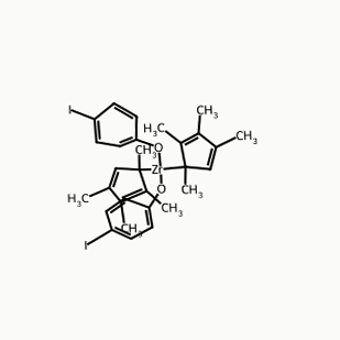 CC1=C[C](C)([Zr]([O]c2ccc(I)cc2)([O]c2ccc(I)cc2)[C]2(C)C=C(C)C(C)=C2C)C(C)=C1C